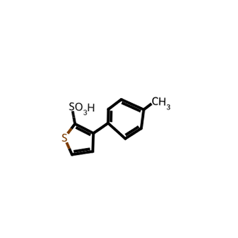 Cc1ccc(-c2ccsc2S(=O)(=O)O)cc1